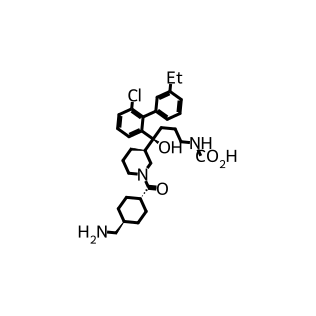 CCc1cccc(-c2c(Cl)cccc2[C@](O)(CCCNC(=O)O)[C@@H]2CCCN(C(=O)[C@H]3CC[C@H](CN)CC3)C2)c1